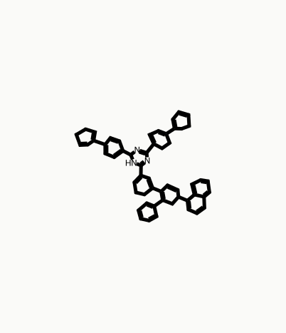 C1=CCCC(C2=CC=C(C3=NC(c4ccc(C5=CCCC=C5)cc4)NC(C4=CCCC(C5=C(c6ccccc6)CC(c6cccc7ccccc67)C=C5)=C4)=N3)CC2)=C1